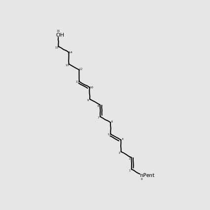 CCCCCC=CCC=CCC=CCC=CCCCCO